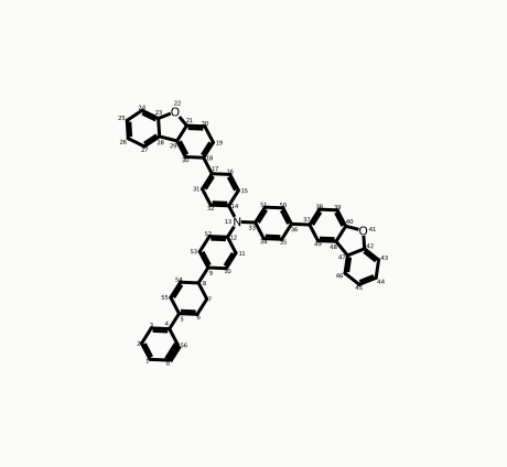 c1cccc(C2=CCC(c3ccc(N(c4ccc(-c5ccc6oc7ccccc7c6c5)cc4)c4ccc(-c5ccc6oc7ccccc7c6c5)cc4)cc3)C=C2)c#1